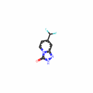 O=c1[nH]nc2cc(C(F)F)ccn12